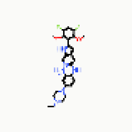 CCN1CCN(c2ccc(Nc3cc4cc(-c5c(OC)c(F)[c]c(F)c5OC)[nH]c4cn3)c(N)c2)CC1